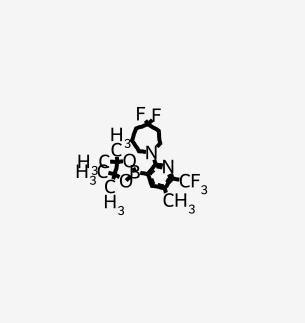 Cc1cc(B2OC(C)(C)C(C)(C)O2)c(N2CCCC(F)(F)CC2)nc1C(F)(F)F